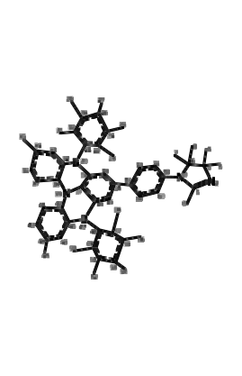 CC1=NC(C)(C)C(C)(C)N1c1ccc(-c2cc3c4c(c2)B(c2c(C)c(C)c(C)c(C)c2C)c2cc(C)ccc2N4c2ccc(C)cc2B3c2c(C)c(C)c(C)c(C)c2C)cc1